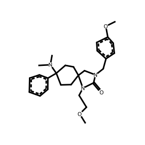 COCCN1C(=O)N(Cc2ccc(OC)cc2)CC12CCC(c1ccccc1)(N(C)C)CC2